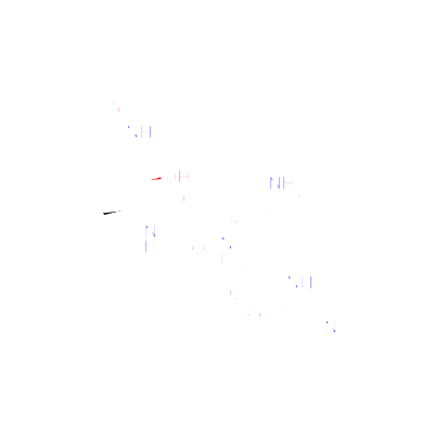 NC(=O)C[C@H](NC(=O)c1ccc2ccccc2n1)C(=O)NOC(=O)N[C@@H](Cc1ccccc1)[C@H](O)CNOC1CCCC1